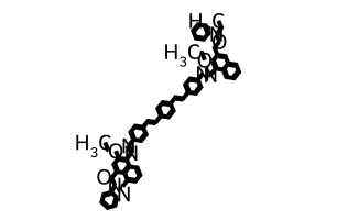 CCOc1cc2c(=O)n3c4ccccc4nc3c3cccc(c1N=Nc1ccc(C=Cc4ccc(C=Cc5ccc(N=Nc6c(OCC)c(CON(CC)c7ccccc7)cc7ccccc67)cc5)cc4)cc1)c23